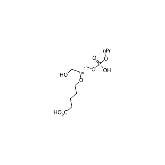 CCCOP(=O)(O)OC[C@@H](CO)OCCCCC(=O)O